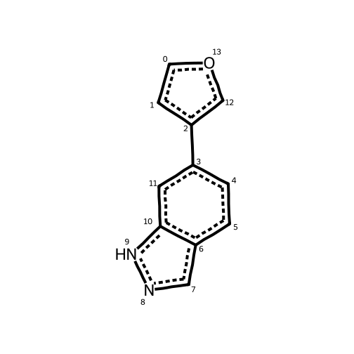 c1cc(-c2ccc3cn[nH]c3c2)co1